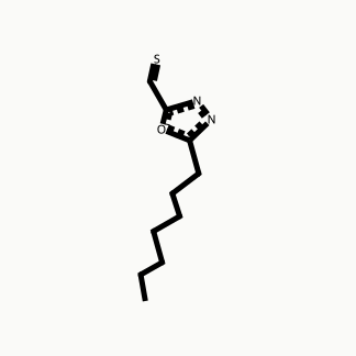 CCCCCCCc1nnc(C=S)o1